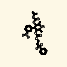 CC1=C(OC(=O)OCCS(=O)(=O)c2ccccc2)C(c2cccc([N+](=O)[O-])c2)C(OC(=O)OC(C)C)=C(C)N1